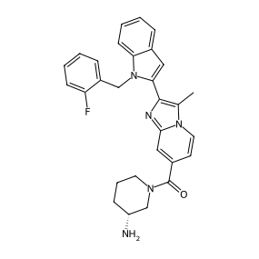 Cc1c(-c2cc3ccccc3n2Cc2ccccc2F)nc2cc(C(=O)N3CCC[C@@H](N)C3)ccn12